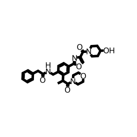 CC(C(=O)N1CCOCC1)c1cc(-c2nc(C(=O)N3CCC(O)CC3)co2)ccc1CNC(=O)Cc1ccccc1